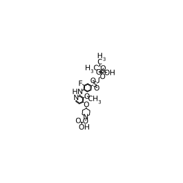 COc1c(OC2CCN(OC(=O)O)CC2)ccnc1Nc1ccc(S(=O)(=O)CCOP(=O)(O)OC(C)C)cc1F